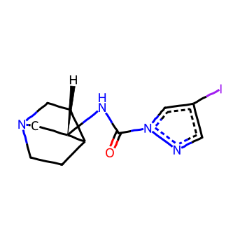 O=C(N[C@H]1CN2CCC1CC2)n1cc(I)cn1